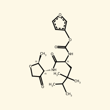 CC(C)C(C)(C)C[C@H](NC(=O)Oc1ccoc1)C(=O)N[C@@H]1C(=O)CO[C@H]1C